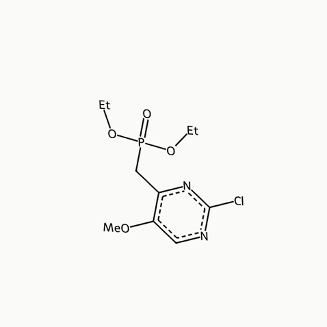 CCOP(=O)(Cc1nc(Cl)ncc1OC)OCC